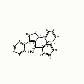 OC(C1=C(c2ccccc2)SCC1c1ccccc1)c1cccnc1